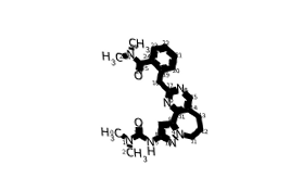 CN(C)C(=O)Nc1cc2n(n1)CCCc1cnc(Cc3ccccc3C(=O)N(C)C)nc1-2